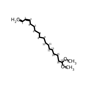 C=C/C=C\CCCCCCCCCCCCCC(OC)OC